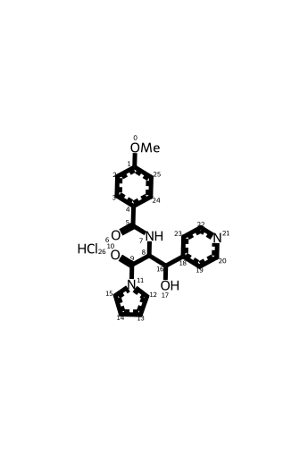 COc1ccc(C(=O)NC(C(=O)n2cccc2)C(O)c2ccncc2)cc1.Cl